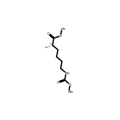 CCCOC(=O)[C@@H](C)CCCCNC(=O)OC(C)(C)C